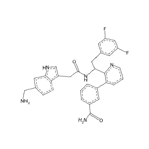 NCc1ccc2c(CC(=O)NC(Cc3cc(F)cc(F)c3)c3ncccc3-c3cccc(C(N)=O)c3)c[nH]c2c1